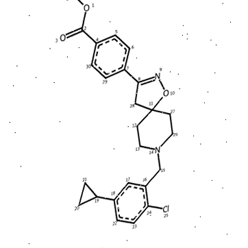 COC(=O)c1ccc(C2=NOC3(CCN(Cc4cc(C5CC5)ccc4Cl)CC3)C2)cc1